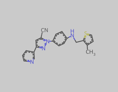 Cc1ccsc1CNc1ccc(-n2nc(-c3cccnc3)cc2C#N)cc1